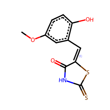 COc1ccc(O)c(/C=C2/SC(=S)NC2=O)c1